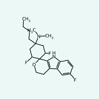 CCCCC1(N(C)C)CC(F)C2(OCCc3c2[nH]c2ccc(F)cc32)C(F)C1